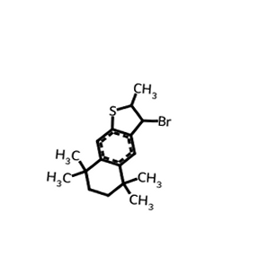 CC1Sc2cc3c(cc2C1Br)C(C)(C)CCC3(C)C